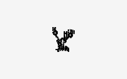 COc1ccc(CCN2CCN(c3cc(C(C)C)nc(-n4ccnc4)n3)CC2CC(=O)NCc2ccc3c(c2)OCO3)cc1